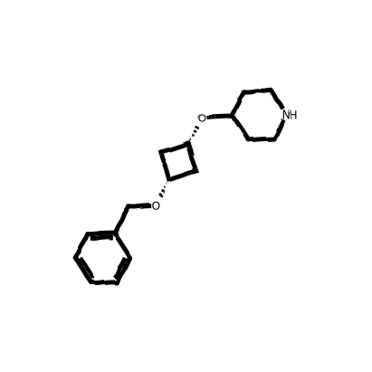 c1ccc(CO[C@H]2C[C@@H](OC3CCNCC3)C2)cc1